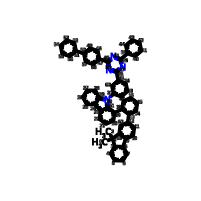 CC1(C)c2ccccc2-c2ccc(-c3ccccc3-c3cccc4c5ccccc5n(-c5cccc(-c6nc(-c7ccccc7)nc(-c7ccc(-c8ccccc8)cc7)n6)c5)c34)cc21